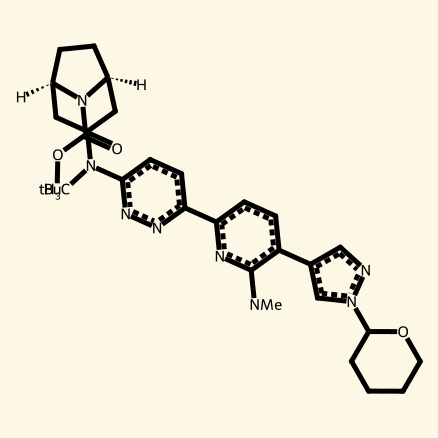 CNc1nc(-c2ccc(N(C)C3C[C@H]4CC[C@@H](C3)N4C(=O)OC(C)(C)C)nn2)ccc1-c1cnn(C2CCCCO2)c1